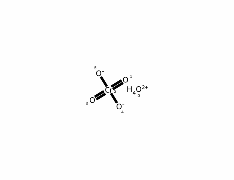 [OH4+2].[O]=[Cr](=[O])([O-])[O-]